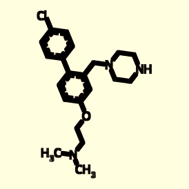 CN(C)CCOc1ccc(-c2ccc(Cl)cc2)c(CN2CCNCC2)c1